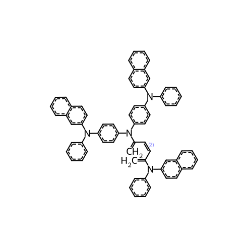 C=C(/C=C\C(=C)N(c1ccccc1)c1ccc2ccccc2c1)N(c1ccc(N(c2ccccc2)c2ccc3ccccc3c2)cc1)c1ccc(N(c2ccccc2)c2ccc3ccccc3c2)cc1